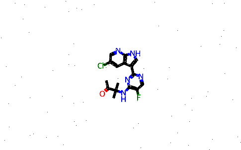 CC(=O)C(C)(C)Nc1nc(-c2c[nH]c3ncc(Cl)cc23)ncc1F